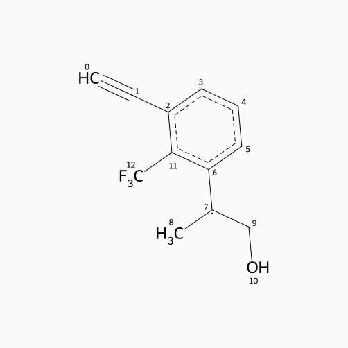 C#Cc1cccc([C](C)CO)c1C(F)(F)F